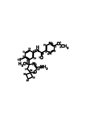 COc1cnc(C(=O)Nc2ccc(F)c(C3(C)CC4(CCC4)OC(N)=N3)c2)cn1